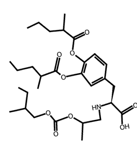 CCCC(C)C(=O)Oc1ccc(C[C@H](NCC(C)OC(=O)OCC(C)CC)C(=O)O)cc1OC(=O)C(C)CCC